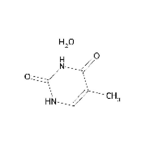 Cc1c[nH]c(=O)[nH]c1=O.O